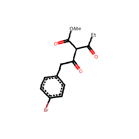 CCC(=O)C(C(=O)Cc1ccc(Br)cc1)C(=O)OC